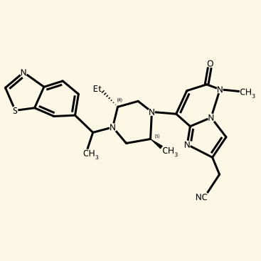 CC[C@@H]1CN(c2cc(=O)n(C)n3cc(CC#N)nc23)[C@@H](C)CN1C(C)c1ccc2ncsc2c1